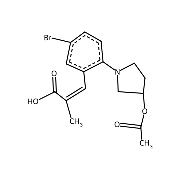 CC(=O)OC1CCN(c2ccc(Br)cc2C=C(C)C(=O)O)C1